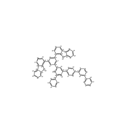 c1ccc(-c2cccc(-c3ccc(-c4cc(-c5cc(-c6cccc7c6oc6ccccc67)cc(-c6cccc7c6oc6ccccc67)c5)nc(-c5ccccc5)n4)cc3)c2)cc1